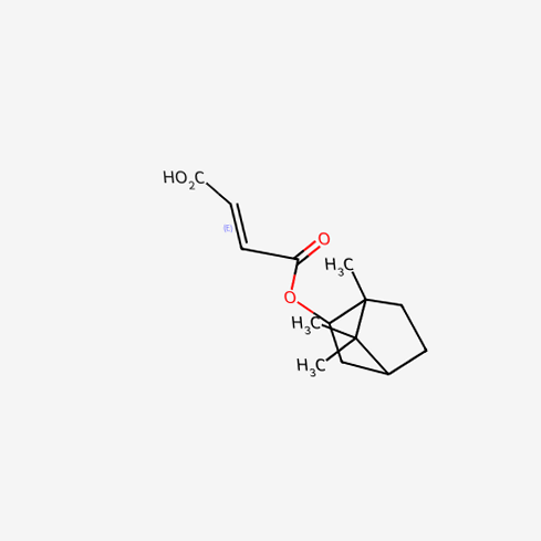 CC1(C)C2CCC1(C)C(OC(=O)/C=C/C(=O)O)C2